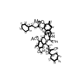 COc1c(C)cc2c(c1OC(=O)CCC1CCCCC1)[C@H]1C3Cc4c(OC(C)=O)c(C)c5c(c4[C@H](CNC(=O)CC4CCCCC4)N3[C@@H](C#N)[C@@H](C2)N1C)OCO5